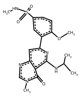 CNS(=O)(=O)c1ccc(OC)c(-c2cc3ncn(C)c(=O)c3c(NC(C)C)n2)c1